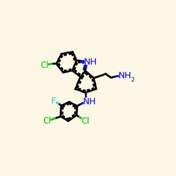 NCCc1cc(Nc2cc(F)c(Cl)cc2Cl)cc2c1[nH]c1ccc(Cl)cc12